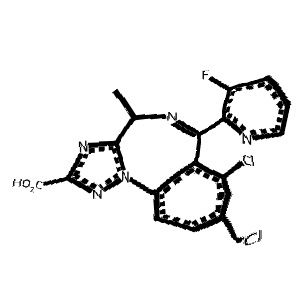 CC1N=C(c2ncccc2F)c2c(ccc(Cl)c2Cl)-n2nc(C(=O)O)nc21